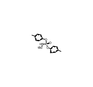 Cc1ccc(OP(=O)(NC(C)(C)C)Oc2ccc(C)cc2)cc1